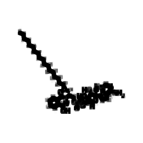 CCCCCCCCCCCCCCCCCCOC[C@H](COP(=O)(O)OC1[C@H]2O[C@@](C#N)(c3ccc4c(N)ncnn34)[C@H](O)[C@@]12O)NC(=O)c1ccccc1C(=O)O